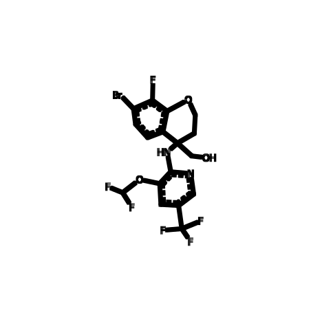 OCC1(Nc2ncc(C(F)(F)F)cc2OC(F)F)CCOc2c1ccc(Br)c2F